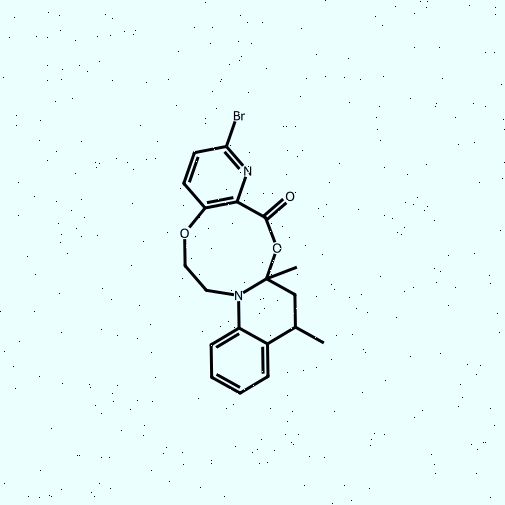 CC1CC2(C)OC(=O)c3nc(Br)ccc3OCCN2c2ccccc21